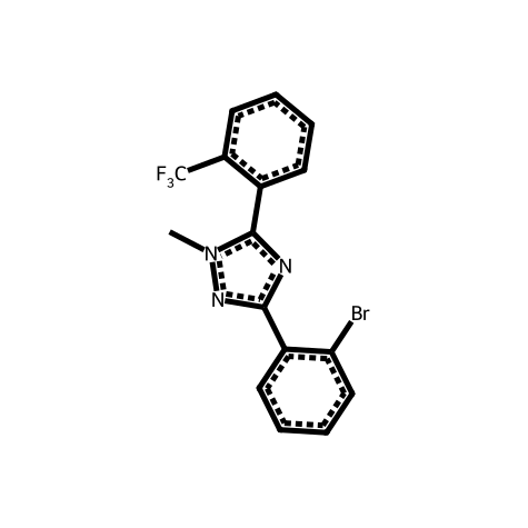 Cn1nc(-c2ccccc2Br)nc1-c1ccccc1C(F)(F)F